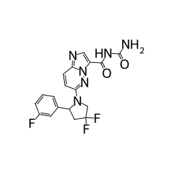 NC(=O)NC(=O)c1cnc2ccc(N3CC(F)(F)CC3c3cccc(F)c3)nn12